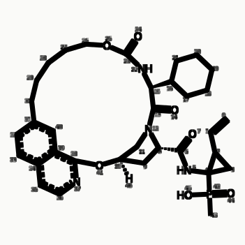 C=CC1CC1(NC(=O)[C@@H]1C[C@@H]2CN1C(=O)[C@H](C1CCCCC1)NC(=O)OCCCCCc1ccc3ccnc(c3c1)O2)P(C)(=O)O